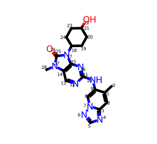 Cc1cc2ncnn2cc1Nc1ncc2c(n1)n(C1CCC(O)CC1)c(=O)n2C